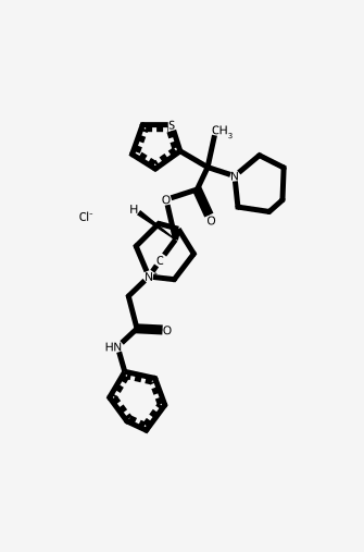 CC(C(=O)O[C@H]1C[N+]2(CC(=O)Nc3ccccc3)CCC1CC2)(c1cccs1)N1CCCCC1.[Cl-]